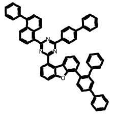 c1ccc(-c2ccc(-c3nc(-c4cccc5c(-c6ccccc6)cccc45)nc(-c4cccc5oc6c(-c7ccc(-c8ccccc8)cc7-c7ccccc7)cccc6c45)n3)cc2)cc1